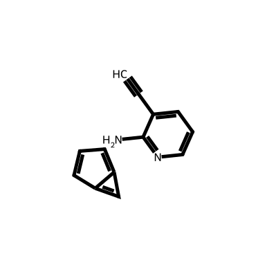 C#Cc1cccnc1N.c1cc2cc-2c1